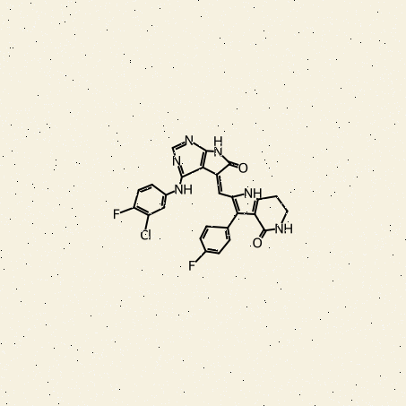 O=C1Nc2ncnc(Nc3ccc(F)c(Cl)c3)c2/C1=C/c1[nH]c2c(c1-c1ccc(F)cc1)C(=O)NCC2